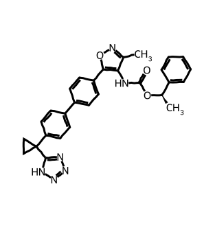 Cc1noc(-c2ccc(-c3ccc(C4(c5nnn[nH]5)CC4)cc3)cc2)c1NC(=O)O[C@H](C)c1ccccc1